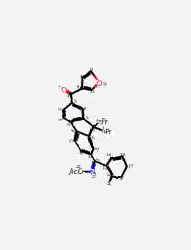 CCCC1(CCC)c2cc(C(=O)c3ccoc3)ccc2-c2ccc(/C(=N\OC(C)=O)C3=C(C)CCC=C3)cc21